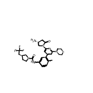 Cc1ccc(NC(=O)N2CC[C@@H](CC(F)(F)F)C2)cc1-c1cc(N2CCOCC2)nc(N2C[C@H](N)CC2=O)c1